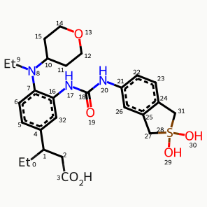 CCC(CC(=O)O)c1ccc(N(CC)C2CCOCC2)c(NC(=O)Nc2ccc3c(c2)CS(O)(O)C3)c1